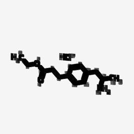 CCOC(=O)CCc1ccc(CC(C)N)cc1.Cl